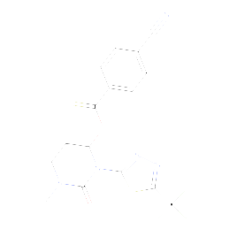 CN1CCC(OC(=S)c2ccc(C#N)cc2)N(c2nnc(C(F)(F)F)s2)C1=O